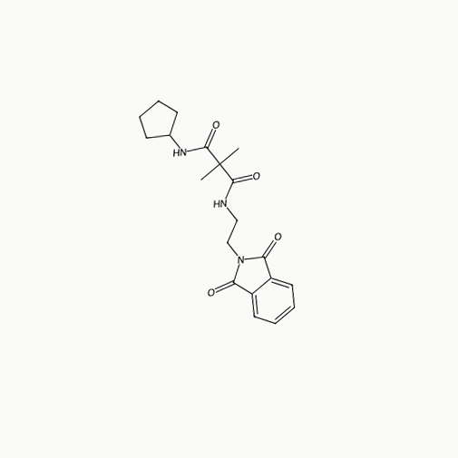 CC(C)(C(=O)NCCN1C(=O)c2ccccc2C1=O)C(=O)NC1CCCC1